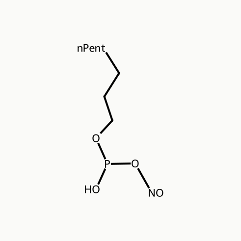 CCCCCCCCOP(O)ON=O